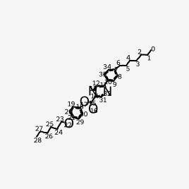 CCCCCCCc1ccc(-c2cnc(C(=O)Oc3ccc(OCCCCCC)cc3)cn2)cc1